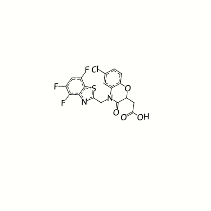 O=C(O)CC1Oc2ccc(Cl)cc2N(Cc2nc3c(F)c(F)cc(F)c3s2)C1=O